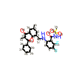 Cc1cc([C@@H](C)Nc2ccc(F)c(F)c2C(=O)NS(C)(=O)=O)c2oc(-c3ccccc3)c(C)c(=O)c2c1